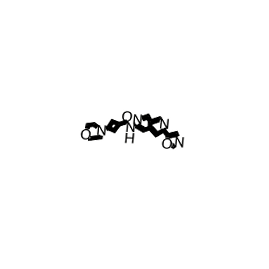 O=C(Nc1cc2cc(-c3cnco3)ncc2cn1)C1CC(N2CCOCC2)C1